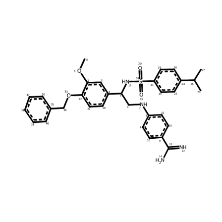 COc1cc(C(CNc2ccc(C(=N)N)cc2)NS(=O)(=O)c2ccc(C(C)C)cc2)ccc1OCc1ccccc1